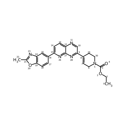 CCOC(=O)N1CC=C(c2cnc3ccc(-c4ccc5oc(C)nc5c4)nc3n2)CC1